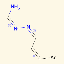 CC(=O)\C=C/C=N\N=C/N